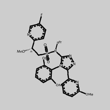 CCCN(c1nnc(-c2cccc(OC)n2)n1-c1c(OC)cccc1OC)S(=O)(=O)C[C@H](OC)c1ccc(F)cn1